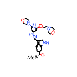 CNC(=O)c1ccc2c(C=NNc3cc(OCCN4CCOCC4)nc(N4CCOCC4)c3)c[nH]c2c1